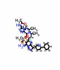 CC(=O)Nc1nnc(C(=O)N(C(C)C)C(C)CCc2nc3c(-c4ccc(-c5ccccc5)nc4)cnn3c(N)c2S(C)(=O)=O)[nH]1